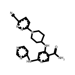 N#Cc1ccc(N2CCC(Nc3cc(Nc4ccncn4)ncc3C(N)=O)CC2)nn1